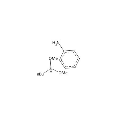 CCCC[SiH](OC)OC.Nc1ccccc1